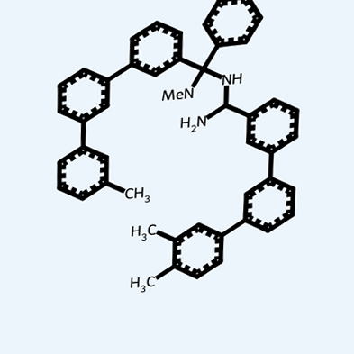 CNC(NC(N)c1cccc(-c2cccc(-c3ccc(C)c(C)c3)c2)c1)(c1ccccc1)c1cccc(-c2cccc(-c3cccc(C)c3)c2)c1